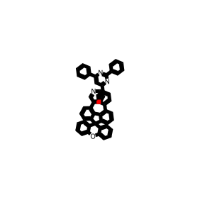 c1ccc(-c2cc(-c3ccc(-c4cccc5c4-c4c(-c6cccnc6)cccc4C54c5ccccc5Oc5ccccc54)cc3)nc(-c3ccccc3)n2)cc1